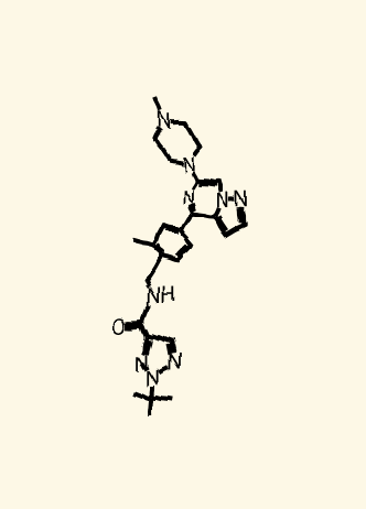 Cc1cc(-c2nc(N3CCN(C)CC3)cn3nccc23)ccc1CNC(=O)c1cnn(C(C)(C)C)n1